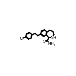 NC(=O)C1NCCCc2ccc([CH]Cc3ccc(Cl)cc3)cc21